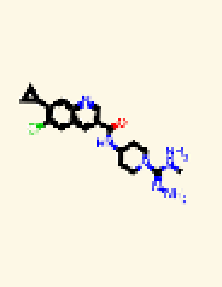 CN(N)/C(=N\N)N1CCC(NC(=O)c2cnc3cc(C4CC4)c(Cl)cc3c2)CC1